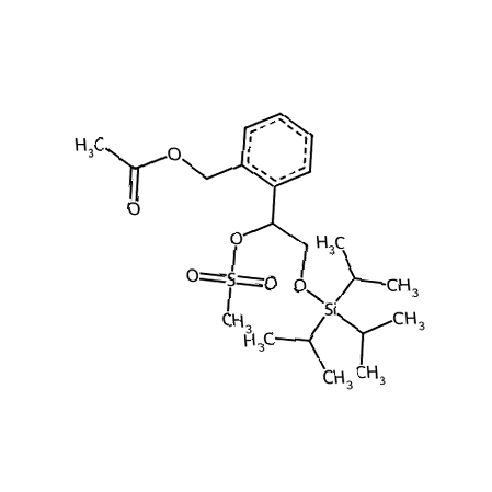 CC(=O)OCc1ccccc1C(CO[Si](C(C)C)(C(C)C)C(C)C)OS(C)(=O)=O